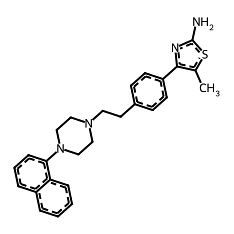 Cc1sc(N)nc1-c1ccc(CCN2CCN(c3cccc4ccccc34)CC2)cc1